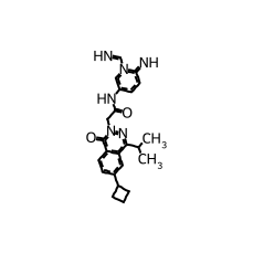 CC(C)c1nn(CC(=O)Nc2ccc(=N)n(C=N)c2)c(=O)c2ccc(C3CCC3)cc12